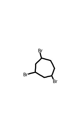 BrC1CCC(Br)CC(Br)C1